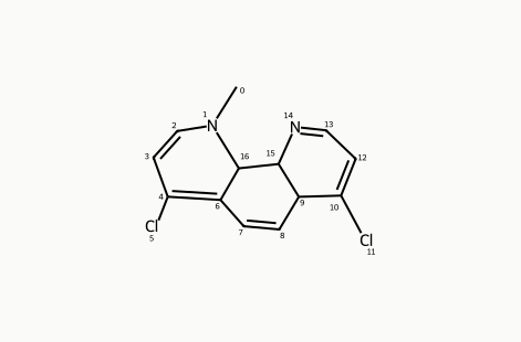 CN1C=CC(Cl)=C2C=CC3C(Cl)=CC=NC3C21